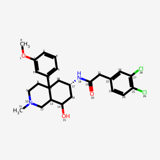 COc1cccc(C23CCN(C)CC2C(O)C[C@@H](NC(=O)Cc2ccc(Cl)c(Cl)c2)C3)c1